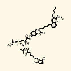 CCCCCc1cc2c(CCCCCN(Cc3ccc(NC(=O)[C@H](CCCNC(N)=O)NC(=O)[C@@H](NC(=O)CCCCCN4C(=O)C=CC4=O)C(C)C)cc3)C(=O)O)cccc2nc1N